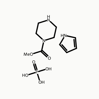 COC(=O)N1CCNCC1.O=P(O)(O)O.c1cc[nH]c1